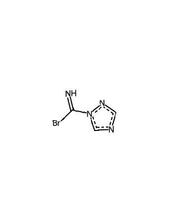 N=C(Br)n1cncn1